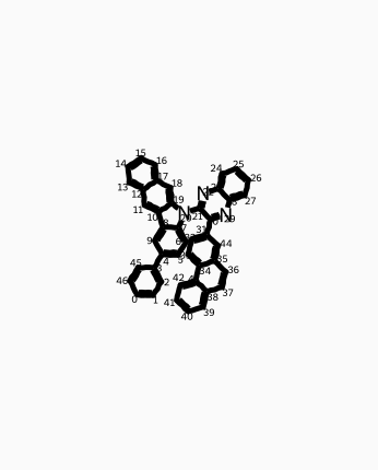 c1ccc(-c2ccc3c(c2)c2cc4ccccc4cc2n3-c2nc3ccccc3nc2-c2ccc3c(ccc4ccccc43)c2)cc1